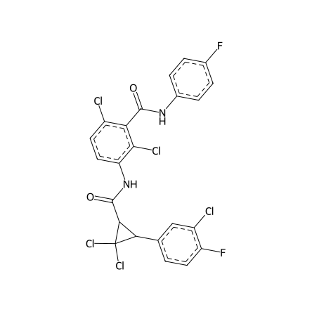 O=C(Nc1ccc(F)cc1)c1c(Cl)ccc(NC(=O)C2C(c3ccc(F)c(Cl)c3)C2(Cl)Cl)c1Cl